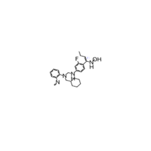 C=Nc1ccccc1N(CNc1ccc(/C(=C\CC)NO)c(F)c1)CC1CCCCC1